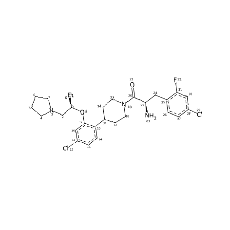 CC[C@H](CN1CCCC1)Oc1cc(Cl)ccc1C1CCN(C(=O)[C@H](N)Cc2ccc(Cl)cc2F)CC1